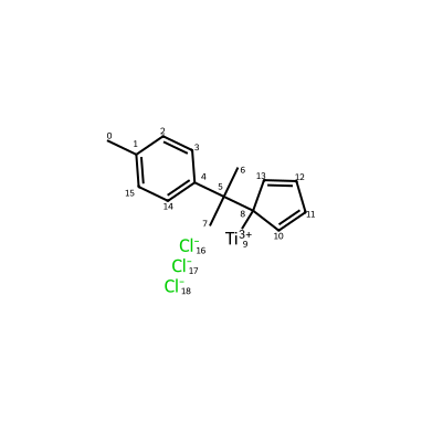 Cc1ccc(C(C)(C)[C]2([Ti+3])C=CC=C2)cc1.[Cl-].[Cl-].[Cl-]